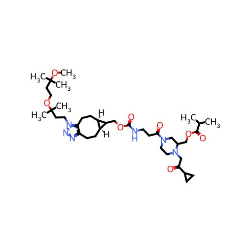 COC(C)(C)CCOC(C)(C)CCn1nnc2c1CC[C@H]1C(COC(=O)NCCC(=O)N3CCN(CC(=O)C4CC4)C(COC(=O)C(C)C)C3)[C@H]1CC2